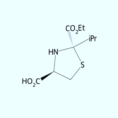 CCOC(=O)[C@@]1(C(C)C)N[C@H](C(=O)O)CS1